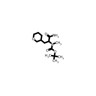 CN(C(=O)OC(C)(C)C)C(CC1CCCOC1)C(N)=O